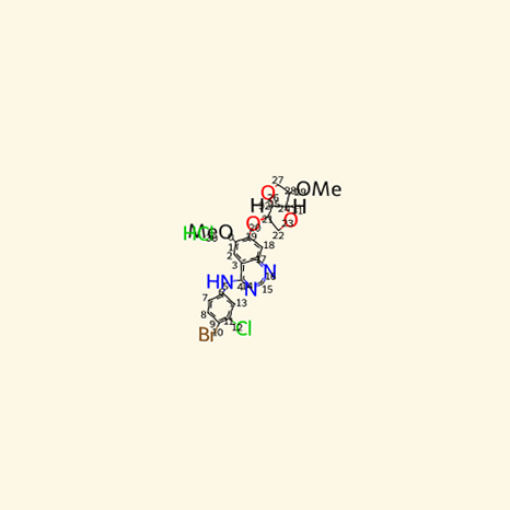 COc1cc2c(Nc3ccc(Br)c(Cl)c3)ncnc2cc1O[C@@H]1CO[C@@H]2[C@@H]1OC[C@@H]2OC.Cl